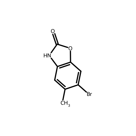 Cc1cc2[nH]c(=O)oc2cc1Br